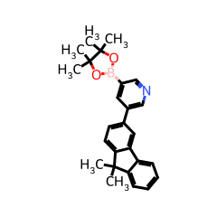 CC1(C)c2ccccc2-c2cc(-c3cncc(B4OC(C)(C)C(C)(C)O4)c3)ccc21